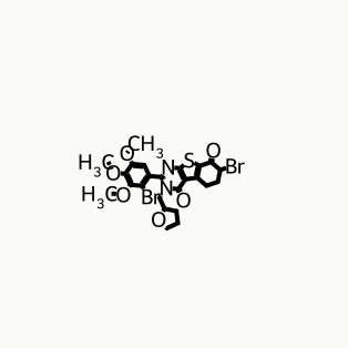 COc1cc(-c2nc3sc4c(c3c(=O)n2CC2CCCO2)CCC(Br)C4=O)c(Br)c(OC)c1OC